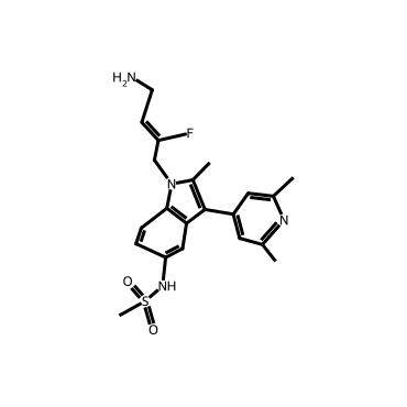 Cc1cc(-c2c(C)n(C/C(F)=C/CN)c3ccc(NS(C)(=O)=O)cc23)cc(C)n1